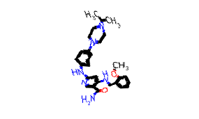 COc1ccccc1CNc1cc(Nc2ccc(N3CCN(C(C)C)CC3)cc2)ncc1C(N)=O